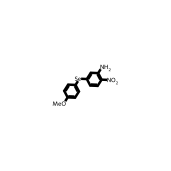 COc1ccc([Se]c2ccc([N+](=O)[O-])c(N)c2)cc1